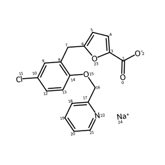 O=C([O-])c1ccc(Cc2cc(Cl)ccc2OCc2ccccn2)o1.[Na+]